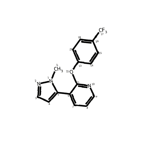 Cn1nccc1-c1cccnc1Oc1ccc(C(F)(F)F)cc1